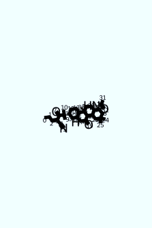 CC/C=C(/C#N)C(=O)C(C)(C)[C@@H]1CC[C@]2(C)[C@H](CC(=O)C3C4CC(C)(C)CC[C@]4(NC(C)=O)CC[C@]32C)C1